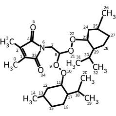 CC1=C(C)C(=O)N(CC(OOC2CC(C)CCC2C(C)C)OOC2CC(C)CCC2C(C)C)C1=O